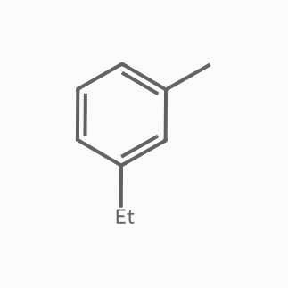 [CH2]Cc1cccc(C)c1